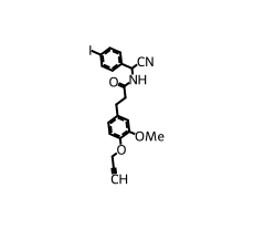 C#CCOc1ccc(CCC(=O)NC(C#N)c2ccc(I)cc2)cc1OC